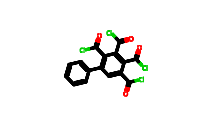 O=C(Cl)c1cc(-c2ccccc2)c(C(=O)Cl)c(C(=O)Cl)c1C(=O)Cl